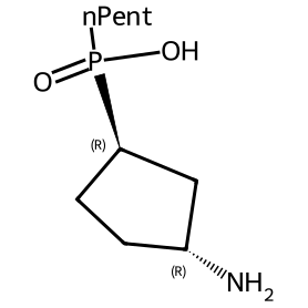 CCCCCP(=O)(O)[C@@H]1CC[C@@H](N)C1